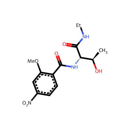 CCNC(=O)[C@@H](NC(=O)c1ccc([N+](=O)[O-])cc1OC)[C@@H](C)O